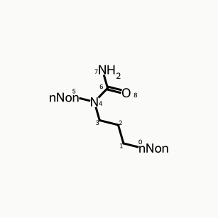 CCCCCCCCCCCCN(CCCCCCCCC)C(N)=O